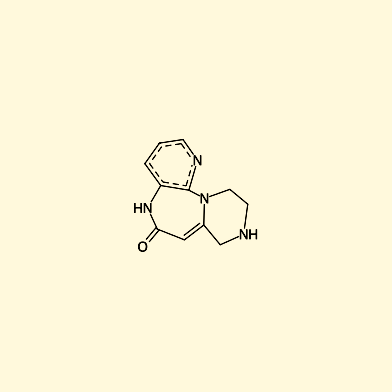 O=C1C=C2CNCCN2c2ncccc2N1